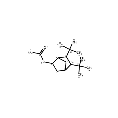 CCC(C)C(=O)OC1CC2CC1C(C(O)(C(F)(F)F)C(F)(F)F)C2C(O)(C(F)(F)F)C(F)(F)F